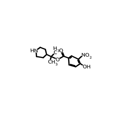 CC(C)(OC(=O)c1ccc(O)c([N+](=O)[O-])c1)C1CCNCC1